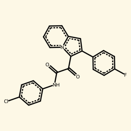 O=C(Nc1ccc(Cl)cc1)C(=O)c1c(-c2ccc(F)cc2)cc2ccccn12